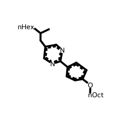 CCCCCCCCOc1ccc(-c2ncc(CC(C)CCCCCC)cn2)cc1